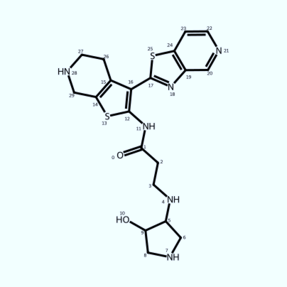 O=C(CCNC1CNCC1O)Nc1sc2c(c1-c1nc3cnccc3s1)CCNC2